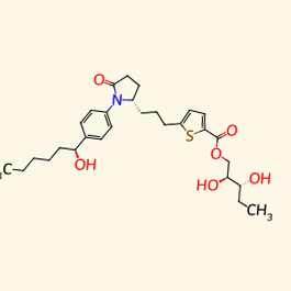 CCCCC[C@H](O)c1ccc(N2C(=O)CC[C@@H]2CCCc2ccc(C(=O)OC[C@H](O)[C@H](O)CC)s2)cc1